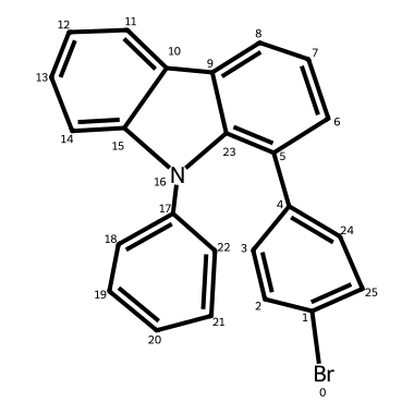 Brc1ccc(-c2cccc3c4ccccc4n(-c4ccccc4)c23)cc1